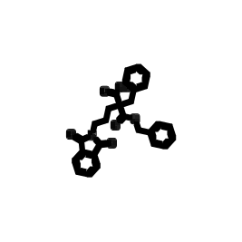 O=C1c2ccccc2C(=O)N1CCCC(Cc1ccccc1)(C(=O)O)C(=O)OCc1ccccc1